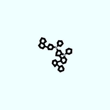 c1ccc(-c2ccccc2-c2cccc3c2c2ccc(N(c4ccccc4)c4ccc(-c5cccc6ccccc56)cc4)cc2n3-c2ccccc2)cc1